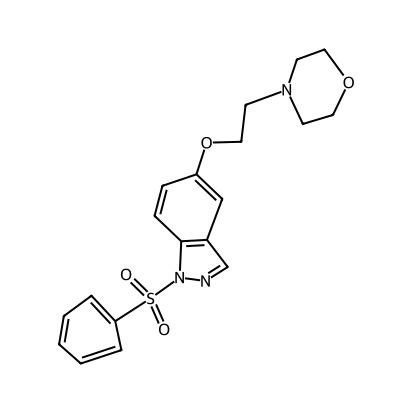 O=S(=O)(c1ccccc1)n1ncc2cc(OCCN3CCOCC3)ccc21